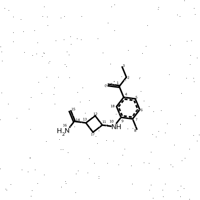 C=C(CC)c1ccc(C)c(NC2CC(C(=C)N)C2)c1